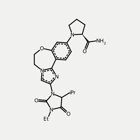 CCN1C(=O)C(C(C)C)N(c2cn3c(n2)-c2ccc(N4CCC[C@H]4C(N)=O)cc2OCC3)C1=O